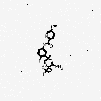 COc1ccc(C(=O)Nc2ccc(F)c(C3(C)COC(C)(C(F)(F)F)C(N)=N3)c2)nc1